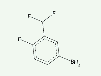 Bc1ccc(F)c(C(F)F)c1